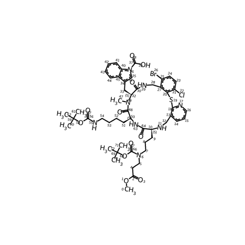 COC(=O)CCN(CCC[C@@H]1NCc2cccnc2Sc2c(Cl)ccc(Br)c2CNC(=O)[C@H](Cc2cn(C(=O)O)c3ccccc23)N(C)C(=O)[C@H](CCCCNC(=O)OC(C)(C)C)NC1=O)C(=O)OC(C)(C)C